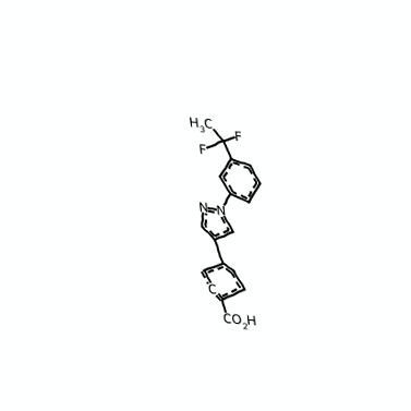 CC(F)(F)c1cccc(-n2cc(-c3ccc(C(=O)O)cc3)cn2)c1